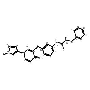 Cn1cc(-n2ccc(=O)c(Cc3cccc(NC(=O)NCc4ccccc4)c3)n2)cn1